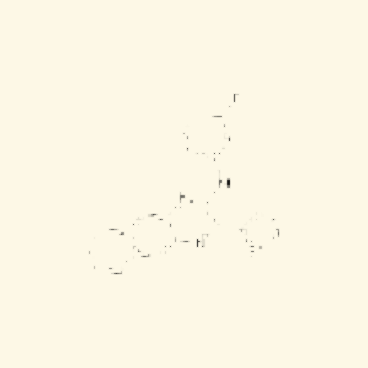 Fc1cccc(Nc2nc3cc4ccccc4cc3nc2-c2cccs2)c1